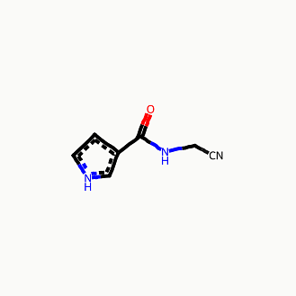 N#CCNC(=O)c1cc[nH]c1